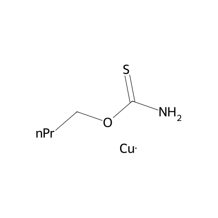 CCCCOC(N)=S.[Cu]